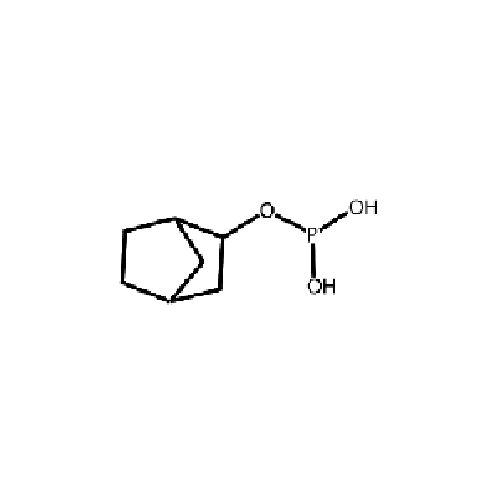 OP(O)OC1CC2CCC1C2